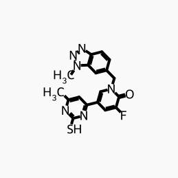 Cc1cc(-c2cc(F)c(=O)n(Cc3ccc4nnn(C)c4c3)c2)nc(S)n1